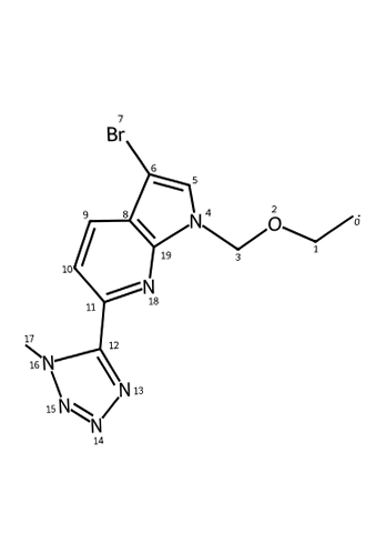 [CH2]COCn1cc(Br)c2ccc(-c3nnnn3C)nc21